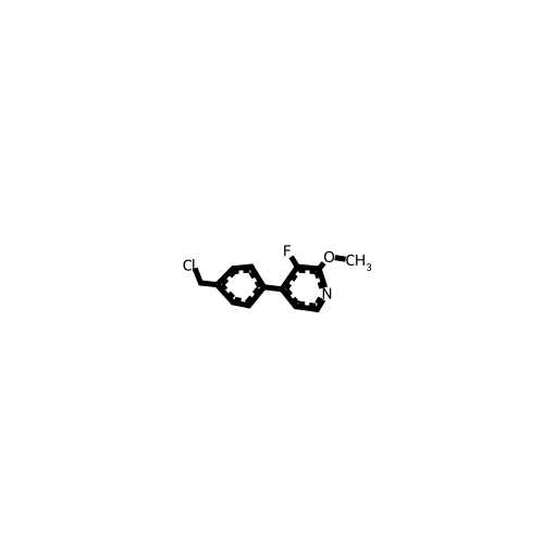 COc1nccc(-c2ccc(CCl)cc2)c1F